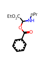 CCCNC(OC(=O)c1ccccc1)C(=O)OCC